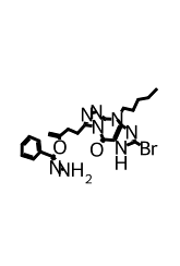 C=C(CCc1nnc2n(CCCCC)c3nc(Br)[nH]c3c(=O)n12)O/C(=N\N)c1ccccc1